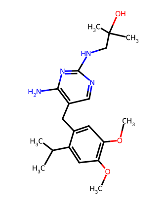 COc1cc(Cc2cnc(NCC(C)(C)O)nc2N)c(C(C)C)cc1OC